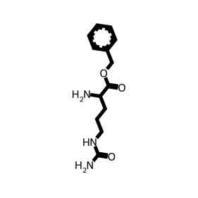 NC(=O)NCCCC(N)C(=O)OCc1ccccc1